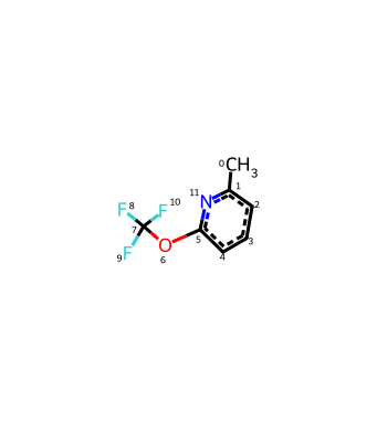 Cc1cccc(OC(F)(F)F)n1